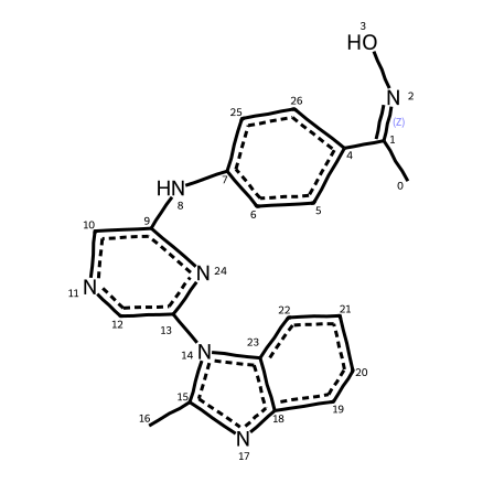 C/C(=N/O)c1ccc(Nc2cncc(-n3c(C)nc4ccccc43)n2)cc1